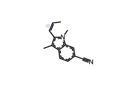 C/C=C\c1c(C)c2ccc(C#N)cc2n1C